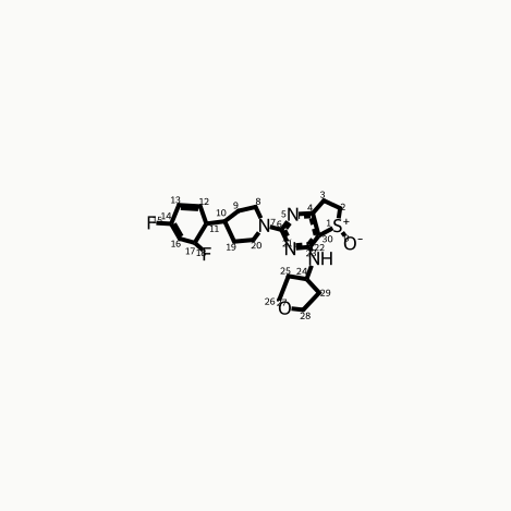 [O-][S+]1CCc2nc(N3CCC(C4C=CC(F)=CC4F)CC3)nc(NC3CCOCC3)c21